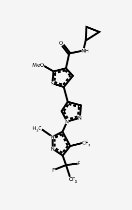 COc1sc(-c2cnn(-c3c(C(F)(F)F)c(C(F)(F)C(F)(F)F)nn3C)c2)cc1C(=O)NC1CC1